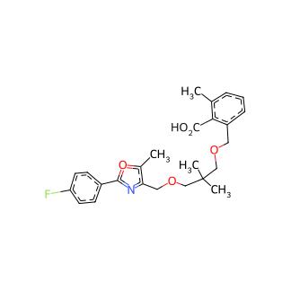 Cc1cccc(COCC(C)(C)COCc2nc(-c3ccc(F)cc3)oc2C)c1C(=O)O